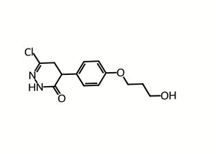 O=C1NN=C(Cl)CC1c1ccc(OCCCO)cc1